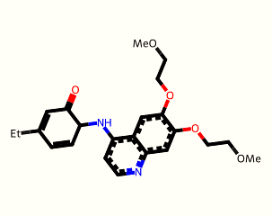 CCC1=CC(=O)C(Nc2ccnc3cc(OCCOC)c(OCCOC)cc23)C=C1